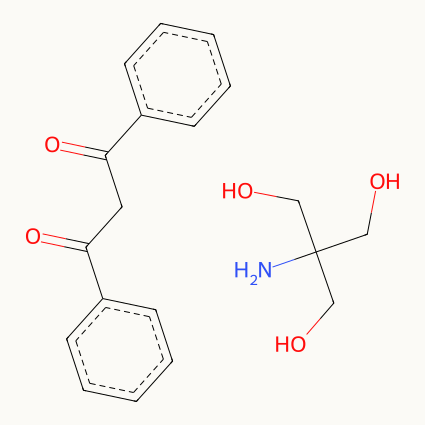 NC(CO)(CO)CO.O=C(CC(=O)c1ccccc1)c1ccccc1